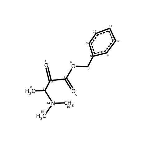 CC(C(=O)C(=O)OCc1ccccc1)N(C)C